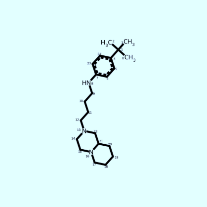 CC(C)(C)c1ccc(NCCCCN2CCN3CCCCC3C2)cc1